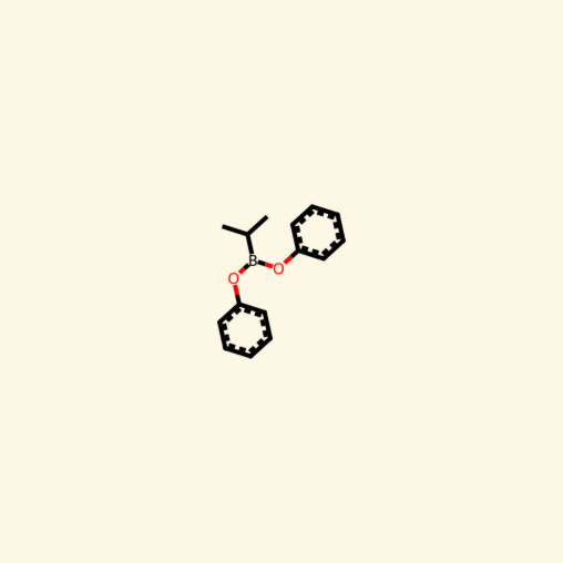 CC(C)B(Oc1ccccc1)Oc1ccccc1